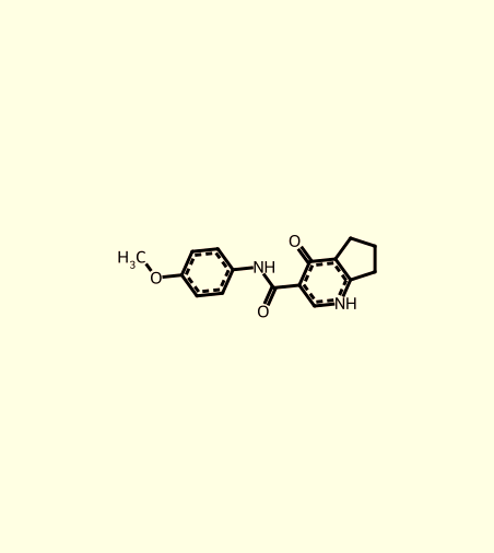 COc1ccc(NC(=O)c2c[nH]c3c(c2=O)CCC3)cc1